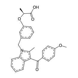 COc1ccc(C(=O)c2c(C)n(Cc3cccc(O[C@@H](C)C(=O)O)c3)c3ccccc23)cc1